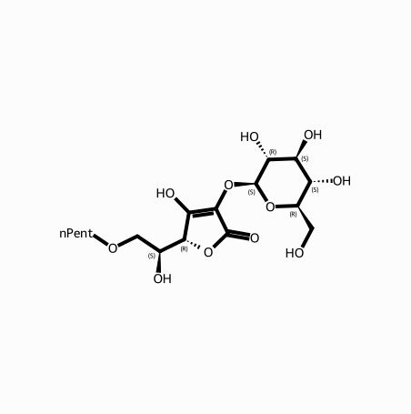 CCCCCOC[C@H](O)[C@H]1OC(=O)C(O[C@@H]2O[C@H](CO)[C@@H](O)[C@H](O)[C@H]2O)=C1O